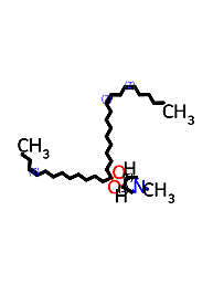 CCC/C=C\CCCCCCCCC1(CCCCCCCC/C=C\C/C=C\CCCCC)O[C@H]2CN(C)C[C@@H]2O1